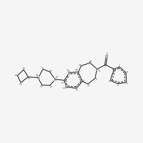 O=C(c1ccccc1)N1CCc2cnc(N3CCN(C4CCC4)CC3)nc2CC1